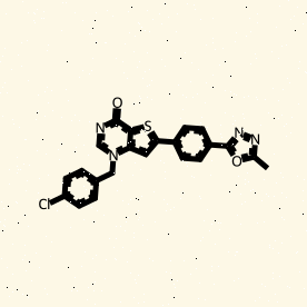 Cc1nnc(-c2ccc(-c3cc4c(s3)c(=O)ncn4Cc3ccc(Cl)cc3)cc2)o1